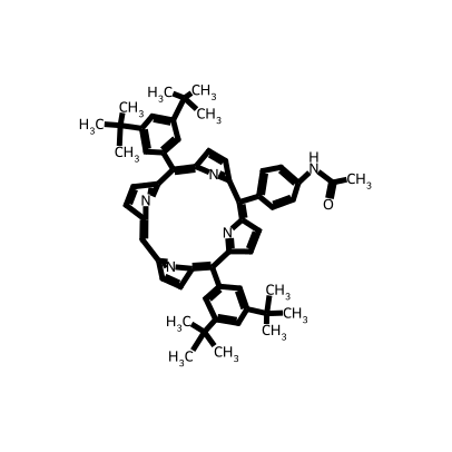 CC(=O)Nc1ccc(C2=C3C=CC(=N3)C(c3cc(C(C)(C)C)cc(C(C)(C)C)c3)=C3C=CC(=N3)C=C3C=CC(=N3)C(c3cc(C(C)(C)C)cc(C(C)(C)C)c3)=C3C=CC2=N3)cc1